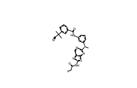 CN(c1cccc(NC(=O)c2cccc(C(C)(C)C#N)c2)c1)c1ncc2nc(NC(=O)CI)sc2n1